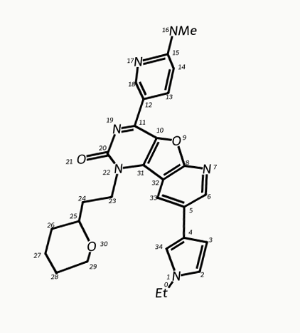 CCn1ccc(-c2cnc3oc4c(-c5ccc(NC)nc5)nc(=O)n(CCC5CCCCO5)c4c3c2)c1